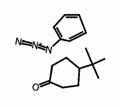 CC(C)(C)C1CCC(=O)CC1.[N-]=[N+]=Nc1ccccc1